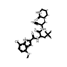 COc1ccc(Cl)c2[nH]c(C(=O)NC(CC(C)(C)C)C(=O)NC(C#N)C[C@@H]3CCCNC3=O)cc12